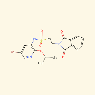 [CH2]C(Oc1ncc(Br)cc1NS(=O)(=O)CCN1C(=O)c2ccccc2C1=O)C(C)(C)C